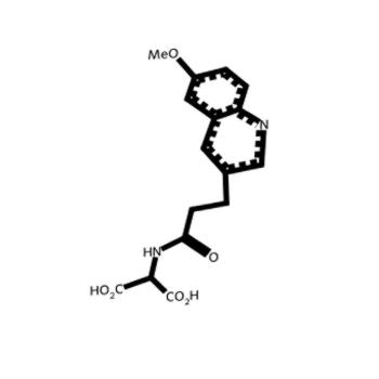 COc1ccc2ncc(CCC(=O)NC(C(=O)O)C(=O)O)cc2c1